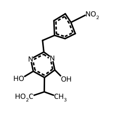 CC(C(=O)O)c1c(O)nc(Cc2ccc([N+](=O)[O-])cc2)nc1O